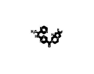 C[C@H](Nc1ncc(C(=O)N2CCN3CC(F)(F)C[C@H]3C2)cn1)c1cnccn1